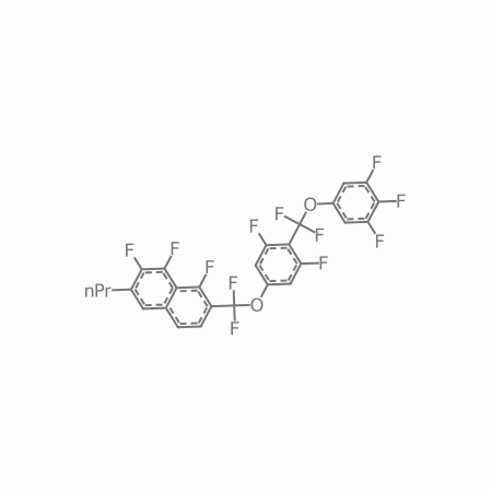 CCCc1cc2ccc(C(F)(F)Oc3cc(F)c(C(F)(F)Oc4cc(F)c(F)c(F)c4)c(F)c3)c(F)c2c(F)c1F